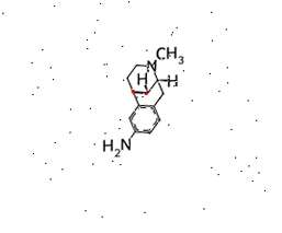 CN1CCC23CCCC[C@H]2[C@H]1Cc1ccc(N)cc13